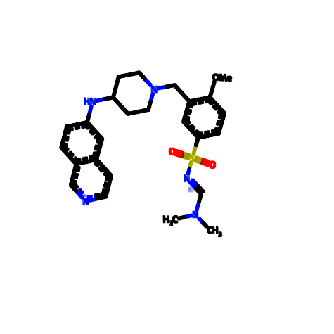 COc1ccc(S(=O)(=O)/N=C/N(C)C)cc1CN1CCC(Nc2ccc3cnccc3c2)CC1